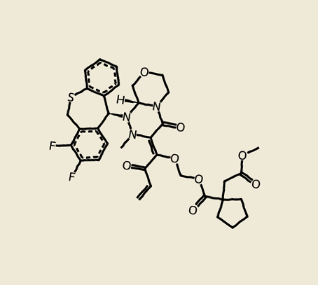 C=CC(=O)/C(OCOC(=O)C1(CC(=O)OC)CCCC1)=C1/C(=O)N2CCOC[C@H]2N([C@@H]2c3ccccc3SCc3c2ccc(F)c3F)N1C